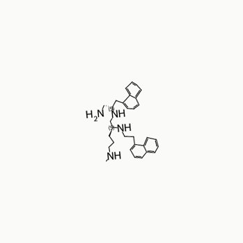 CNCCC[C@@H](CN[C@H](CN)Cc1cccc2ccccc12)NCCc1cccc2ccccc12